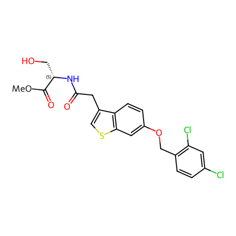 COC(=O)[C@H](CO)NC(=O)Cc1csc2cc(OCc3ccc(Cl)cc3Cl)ccc12